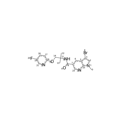 Cn1cc(Br)c2cc(C(=O)NC(C)(C)COc3ccc(F)cn3)cnc21